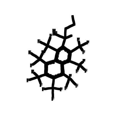 BC(C)(CCC)c1c(C(F)(F)F)c(C(F)(F)F)c2c(C(F)(F)F)c(C(F)(F)F)c(C(F)(F)F)c(C(F)(F)F)c2c1C(F)(F)F